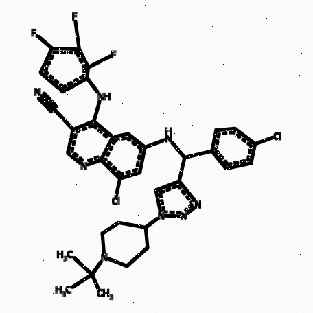 CC(C)(C)N1CCC(n2cc(C(Nc3cc(Cl)c4ncc(C#N)c(Nc5ccc(F)c(F)c5F)c4c3)c3ccc(Cl)cc3)nn2)CC1